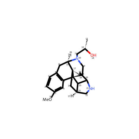 COc1ccc2c(c1)[C@]13CCN(C[C@H](C)O)[C@H](C2)[C@]12CCC1NC[C@@H](C2)C13